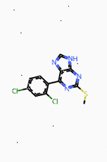 CSc1nc(-c2ccc(Cl)cc2Cl)c2nc[nH]c2n1